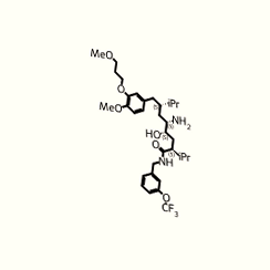 COCCCOc1cc(C[C@@H](C[C@H](N)[C@@H](O)C[C@H](C(=O)NCc2cccc(OC(F)(F)F)c2)C(C)C)C(C)C)ccc1OC